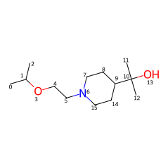 CC(C)OCCN1CCC(C(C)(C)O)CC1